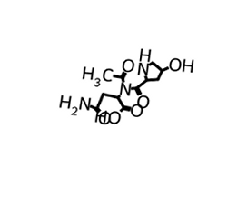 CC(=O)N(C(=O)C1CC(O)CN1)C(CC(N)=O)C(=O)O